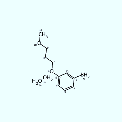 Bc1cccc(OCCCOC)c1.O.O